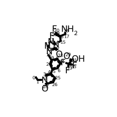 CCn1cc(-c2cccc(Cn3nnn(CC(CN)=C(F)F)c3=O)c2)ccc1=O.O=C(O)C(F)(F)F